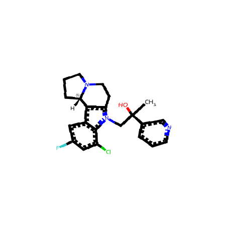 CC(O)(Cn1c2c(c3cc(F)cc(Cl)c31)[C@@H]1CCCN1CC2)c1cccnc1